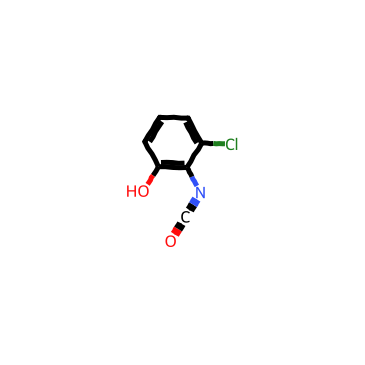 O=C=Nc1c(O)cccc1Cl